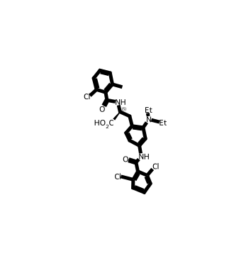 CCN(CC)c1cc(NC(=O)c2c(Cl)cccc2Cl)ccc1C[C@H](NC(=O)c1c(C)cccc1Cl)C(=O)O